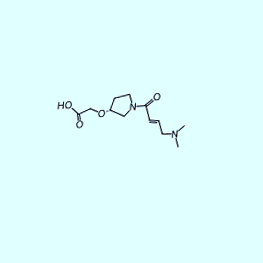 CN(C)C/C=C/C(=O)N1CC[C@@H](OCC(=O)O)C1